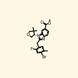 COC(=O)c1ccc2nc(Cc3cc(C)c(Br)cc3F)n([C@@H]3COCC3(C)C)c2c1